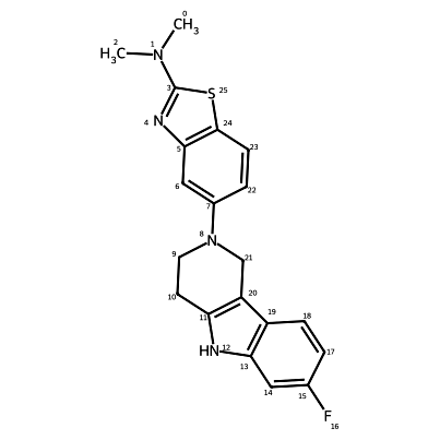 CN(C)c1nc2cc(N3CCc4[nH]c5cc(F)ccc5c4C3)ccc2s1